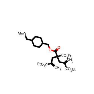 C=C(CC(CC(=C)C(=O)OCC)(C(=O)OCC)C(=O)OCC1CCC(COC)CC1)C(=O)OCC